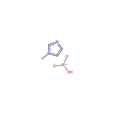 Cn1ccnc1.[O-][Br+2]([O-])O